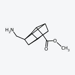 COC(=O)C12C3C4C1C1C2C3C41CN